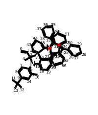 C=CC(C)(C)N(c1ccc(C(C)(C)C)cc1C)c1cccc(-c2nc(-c3ccccc3)cc(-c3ccccc3)n2)c1-c1ccccc1-n1c2ccccc2c2ccccc21